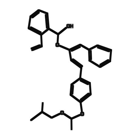 C=Cc1ccccc1C(O)OC(C=Cc1ccc(OC(C)OCC(C)C)cc1)=Cc1ccccc1